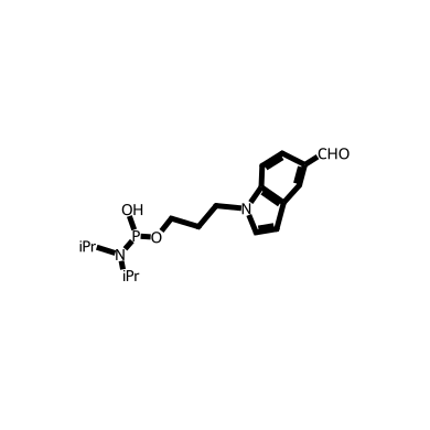 CC(C)N(C(C)C)P(O)OCCCn1ccc2cc(C=O)ccc21